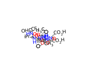 Cc1ccccc1C[C@H](NC(=O)[C@H](NC(=O)[C@H](CC(=O)O)NC(=O)CCC(=O)O)[C@H](C)OCc1ccccc1)C(=O)N[C@H](C(=O)N[C@@H](CC(C)C)C(=O)NC(C=O)CC(F)(F)F)C(C)(C)C